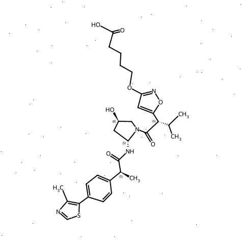 Cc1ncsc1-c1ccc([C@H](C)C(=O)N[C@@H]2C[C@@H](O)CN2C(=O)[C@H](c2cc(OCCCCC(=O)O)no2)C(C)C)cc1